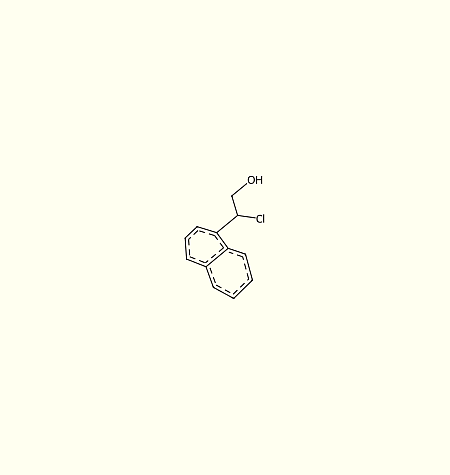 OCC(Cl)c1cccc2ccccc12